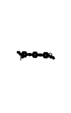 CCCOc1ccc(C#Cc2ccc(C#Cc3ccc(CCC)c(F)c3)cc2)cc1